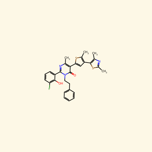 Cc1nc(C)c(-c2cc(-c3c(C)nc(-c4cccc(F)c4O)n(CCc4ccccc4)c3=O)sc2C)s1